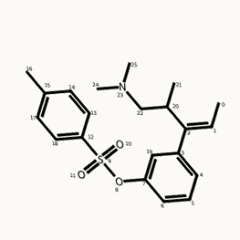 CC=C(c1cccc(OS(=O)(=O)c2ccc(C)cc2)c1)C(C)CN(C)C